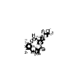 CC(C)(C(=O)N1CC2(CN(C(=O)c3cnn(Cc4cc(F)c(F)cc4F)c3)C[C@H]2CO)C1)C(F)(F)F